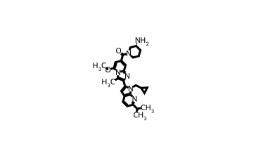 COc1cc(C(=O)N2CCC[C@@H](N)C2)cc2nc(-c3cc4ccc(C(C)C)nc4n3CC3CC3)c(C)n12